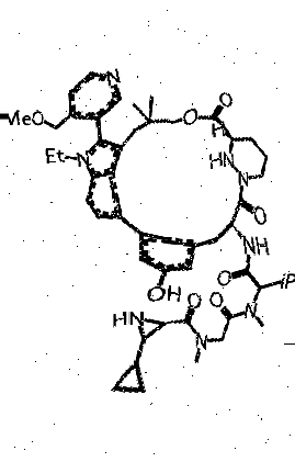 CCn1c(-c2cnccc2COC)c2c3cc(ccc31)-c1cc(O)cc(c1)C[C@H](NC(=O)C(C(C)C)N(C)C(=O)CN(C)C(=O)[C@@H]1NC1C1CC1)C(=O)N1CCC[C@H](N1)C(=O)OCC(C)(C)C2